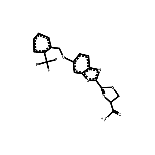 CC(=O)C1CSC(c2nc3ccc(OCc4ccccc4C(F)(F)F)cc3s2)=N1